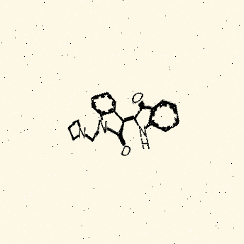 O=C1/C(=C2/C(=O)N(CN3CCC3)c3ccccc32)Nc2ccccc21